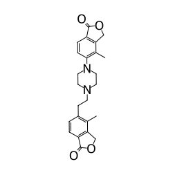 Cc1c(CCN2CCN(c3ccc4c(c3C)COC4=O)CC2)ccc2c1COC2=O